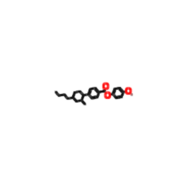 CCCCC1CCC(c2ccc(C(=O)Oc3ccc(OC)cc3)cc2)C(C)C1